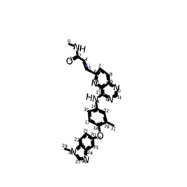 CNC(=O)/C=C/c1ccc2ncnc(Nc3ccc(Oc4ccc5c(c4)ncn5C)c(C)c3)c2n1